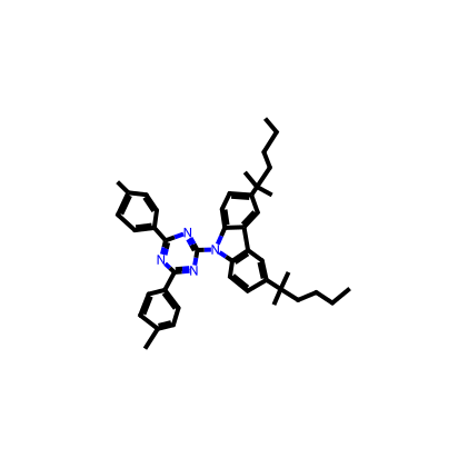 CCCCC(C)(C)c1ccc2c(c1)c1cc(C(C)(C)CCCC)ccc1n2-c1nc(-c2ccc(C)cc2)nc(-c2ccc(C)cc2)n1